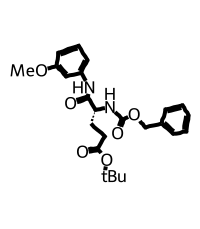 COc1cccc(NC(=O)[C@@H](CCC(=O)OC(C)(C)C)NC(=O)OCc2ccccc2)c1